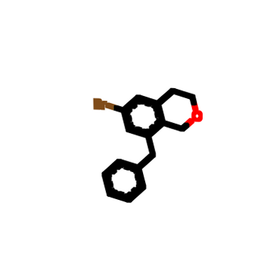 Brc1cc2c(c(Cc3ccccc3)c1)COCC2